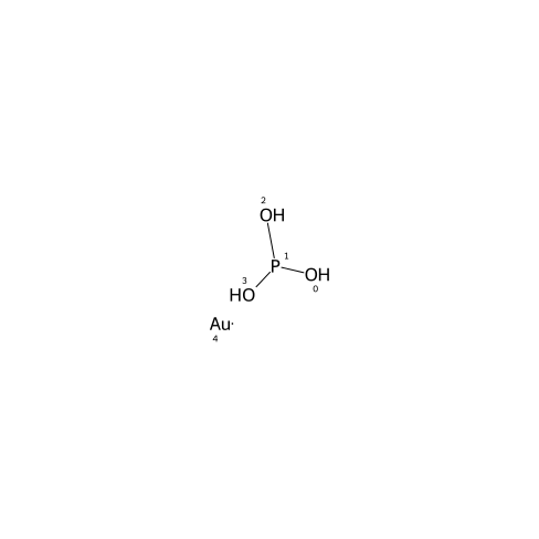 OP(O)O.[Au]